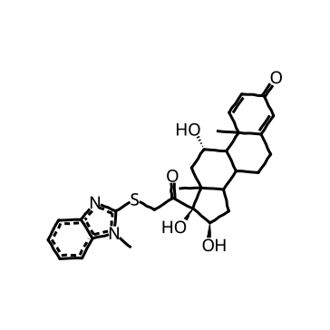 Cn1c(SCC(=O)[C@@]2(O)[C@H](O)CC3C4CCC5=CC(=O)C=CC5(C)C4[C@@H](O)CC32C)nc2ccccc21